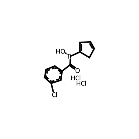 Cl.Cl.O=[C](c1cccc(Cl)c1)[Ti]([OH])[C]1=CC=CC1